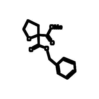 COC(=O)C1(C(=O)OCc2ccccc2)CCCO1